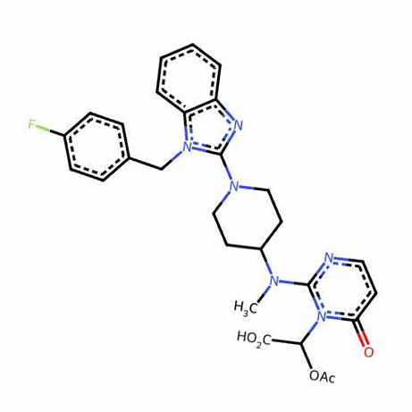 CC(=O)OC(C(=O)O)n1c(N(C)C2CCN(c3nc4ccccc4n3Cc3ccc(F)cc3)CC2)nccc1=O